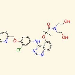 CC(C)(Oc1cccc2ncnc(Nc3ccc(OCc4ccccn4)c(Cl)c3)c12)C(=O)N(CCO)CCO